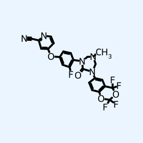 CN1CN(c2ccc3c(c2)C(F)(F)OC(F)(F)O3)C(=O)N(c2ccc(Oc3ccnc(C#N)c3)cc2F)C1